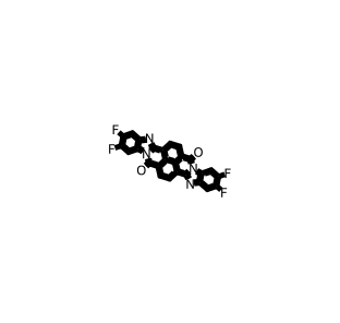 O=c1c2ccc3c4c(ccc(c24)c2nc4cc(F)c(F)cc4n12)c(=O)n1c2cc(F)c(F)cc2nc31